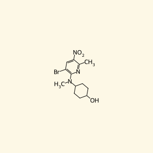 Cc1nc(N(C)C2CCC(O)CC2)c(Br)cc1[N+](=O)[O-]